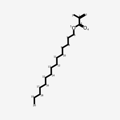 C=C(C)C(=O)OCCCCCCCCCCCCCCC